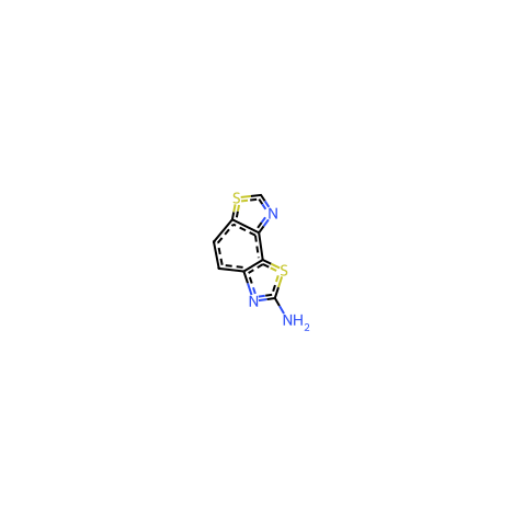 Nc1nc2ccc3scnc3c2s1